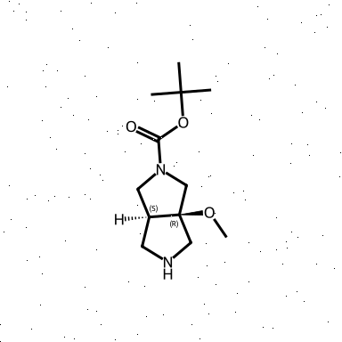 CO[C@@]12CNC[C@H]1CN(C(=O)OC(C)(C)C)C2